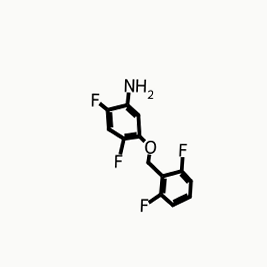 Nc1cc(OCc2c(F)cccc2F)c(F)cc1F